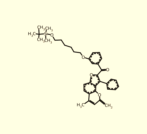 C=C1C=C(C)c2ccc3oc(C(=O)c4cccc(OCCCCCCO[Si](C)(C)C(C)(C)C)c4)c(-c4ccccc4)c3c2O1